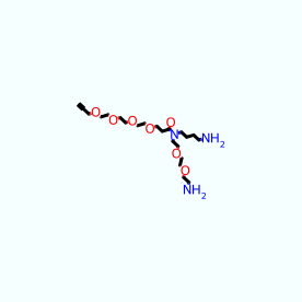 C#CCOCCOCCOCCOCCC(=O)N(CCCCN)CCOCCOCCN